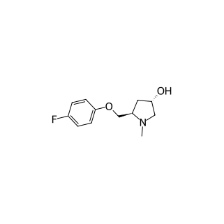 CN1C[C@@H](O)C[C@@H]1COc1ccc(F)cc1